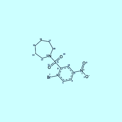 O=[N+]([O-])c1ccc(Br)c(S(=O)(=O)N2CCCCCC2)c1